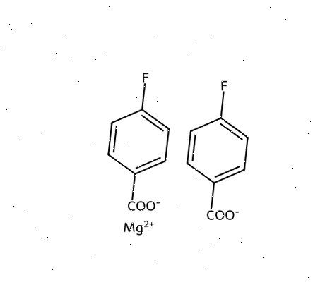 O=C([O-])c1ccc(F)cc1.O=C([O-])c1ccc(F)cc1.[Mg+2]